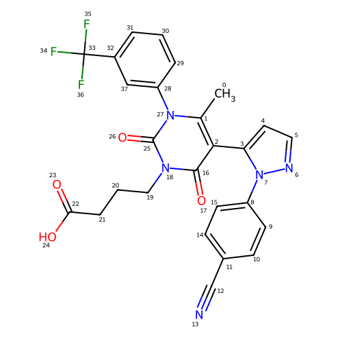 Cc1c(-c2ccnn2-c2ccc(C#N)cc2)c(=O)n(CCCC(=O)O)c(=O)n1-c1cccc(C(F)(F)F)c1